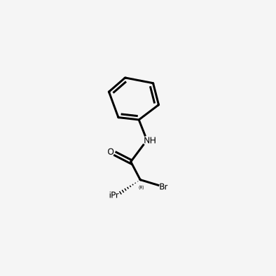 CC(C)[C@@H](Br)C(=O)Nc1ccccc1